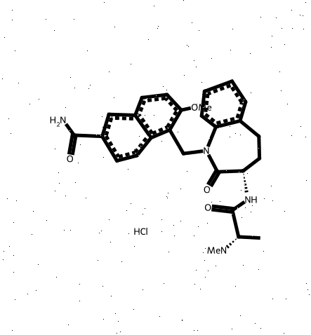 CN[C@@H](C)C(=O)N[C@H]1CCc2ccccc2N(Cc2c(OC)ccc3cc(C(N)=O)ccc23)C1=O.Cl